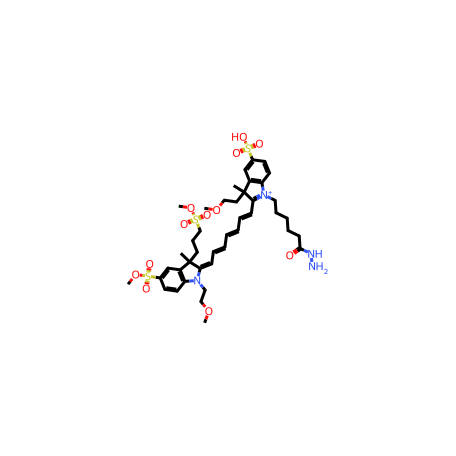 COCCN1/C(=C/C=C/C=C/C=C/C2=[N+](CCCCCC(=O)NN)c3ccc(S(=O)(=O)O)cc3C2(C)CCOC)C(C)(CCCS(=O)(=O)OC)c2cc(S(=O)(=O)OC)ccc21